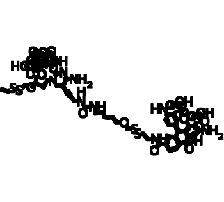 CCSSCO[C@@H]1C[C@H](n2cc(C#CCNC(=O)NCCCCCOCSSCCNC(=O)c3ccc(C(=O)O)c(-c4c5ccc(=N)c(S(=O)(=O)O)c-5oc5c(S(=O)(=O)O)c(N)ccc45)c3)c(N)nc2=O)O[C@@H]1OP(=O)(O)OP(=O)(O)OP(=O)(O)O